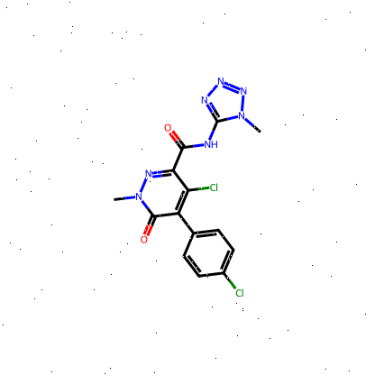 Cn1nnnc1NC(=O)c1nn(C)c(=O)c(-c2ccc(Cl)cc2)c1Cl